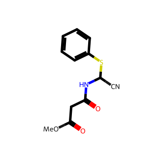 COC(=O)CC(=O)NC(C#N)Sc1ccccc1